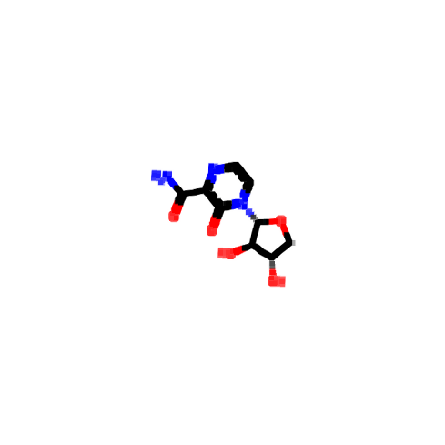 NC(=O)c1nccn([C@@H]2O[CH][C@H](O)[C@H]2O)c1=O